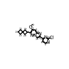 COc1cc2nc(-c3ccnc(Cl)n3)cn2nc1C1CC2(CCC2)C1